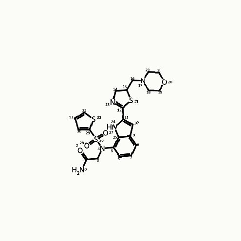 NC(=O)CN(c1cccc2cc(C3=NCC(CN4CCOCC4)S3)[nH]c12)S(=O)(=O)c1cccs1